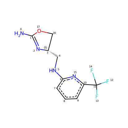 NC1=N[C@@H](CNc2cccc(C(F)(F)F)n2)CO1